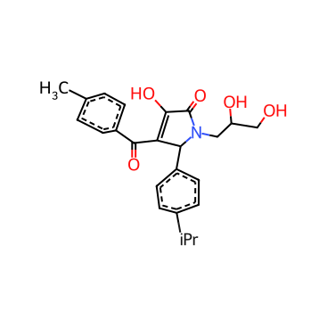 Cc1ccc(C(=O)C2=C(O)C(=O)N(CC(O)CO)C2c2ccc(C(C)C)cc2)cc1